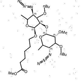 CCCCOC1[C@H](N=[N+]=[N-])C(C)O[C@H](O[C@@H]2C(OCCCC)[C@H](N=[N+]=[N-])C(C)O[C@@H]2OCCCCCC(=O)OC)[C@@H]1OC